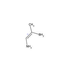 B/C(C)=C\N